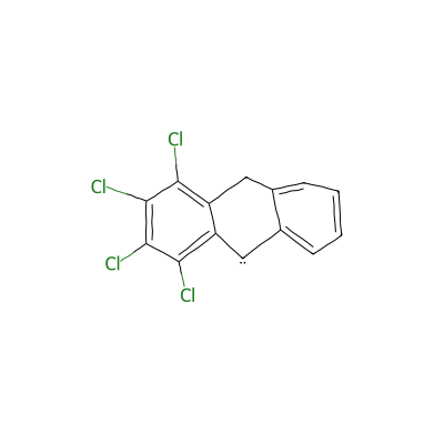 Clc1c(Cl)c(Cl)c2c(c1Cl)[C]c1ccccc1C2